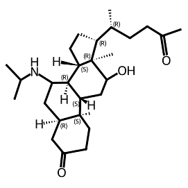 CC(=O)CC[C@@H](C)[C@H]1CC[C@H]2[C@@H]3C(NC(C)C)C[C@@H]4CC(=O)CC[C@]4(C)[C@H]3CC(O)[C@]12C